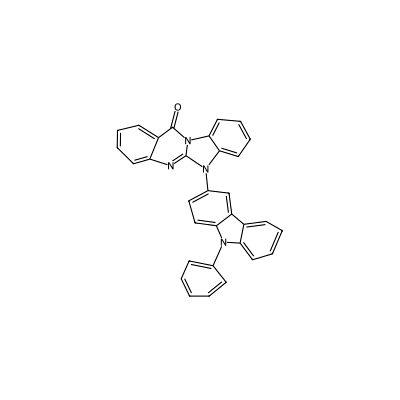 O=c1c2ccccc2nc2n(-c3ccc4c(c3)c3ccccc3n4-c3ccccc3)c3ccccc3n12